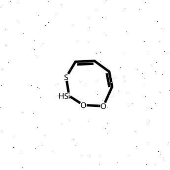 C1=COO[SiH]SC=C1